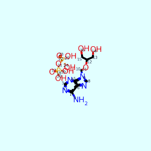 Nc1ncnc2c1ncn2COC(CO)CO.O=P(O)(O)OP(=O)(O)O